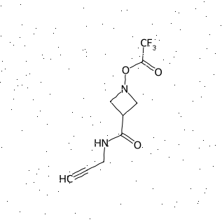 C#CCNC(=O)C1CN(OC(=O)C(F)(F)F)C1